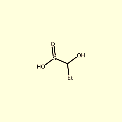 CCC(O)S(=O)O